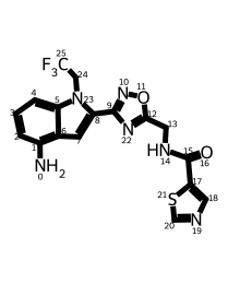 Nc1cccc2c1cc(-c1noc(CNC(=O)c3cncs3)n1)n2CC(F)(F)F